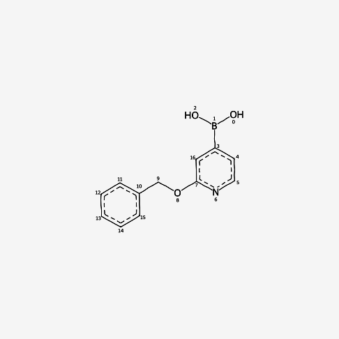 OB(O)c1ccnc(OCc2ccccc2)c1